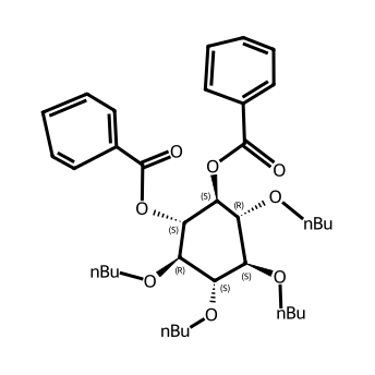 CCCCO[C@H]1[C@H](OCCCC)[C@@H](OCCCC)[C@H](OC(=O)c2ccccc2)[C@@H](OC(=O)c2ccccc2)[C@@H]1OCCCC